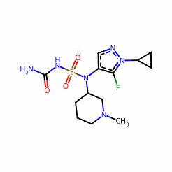 CN1CCCC(N(c2cnn(C3CC3)c2F)S(=O)(=O)NC(N)=O)C1